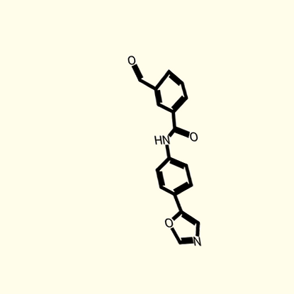 O=Cc1cccc(C(=O)Nc2ccc(-c3cnco3)cc2)c1